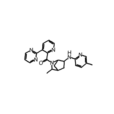 Cc1ccc(NC2CC3CC2N(C(=O)c2ncccc2-c2ncccn2)C3C)nc1